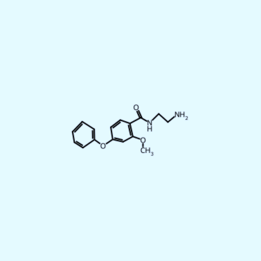 COc1cc(Oc2ccccc2)ccc1C(=O)NCCN